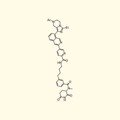 CCc1nc(-c2cccc3cc(-c4ccc(C(=O)NCCCCc5cccc(C(=O)N(C)C6CCC(=O)NC6=O)c5)nc4)ncc23)c2n1CCN(C(C)=O)C2